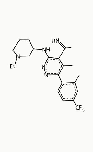 CCN1CCCC(Nc2nnc(-c3ccc(C(F)(F)F)cc3C)c(C)c2C(C)=N)C1